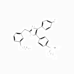 COc1cccc(Cc2nc(-c3ccc(F)cc3)c(-c3ccc([S+](C)[O-])cc3)o2)c1